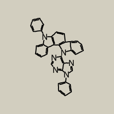 c1ccc(-n2cnc3c(-n4c5ccccc5c5ccc6c(c7ccccc7n6-c6ccccc6)c54)ncnc32)cc1